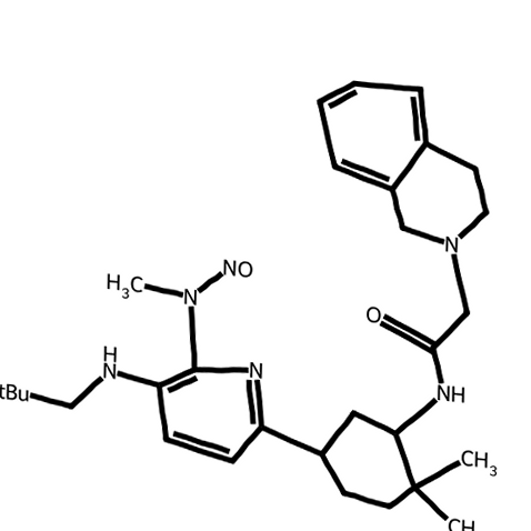 CN(N=O)c1nc(C2CCC(C)(C)C(NC(=O)CN3CCc4ccccc4C3)C2)ccc1NCC(C)(C)C